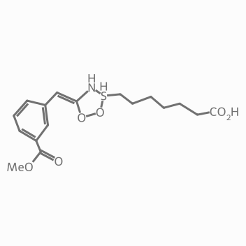 COC(=O)c1cccc(/C=C2/N[SH](CCCCCCC(=O)O)OO2)c1